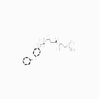 CC(C)[C@@H](CC(=O)NCCN(C(C)C)C(C)C)NC(=O)Nc1ccc(Oc2ccccc2)cc1